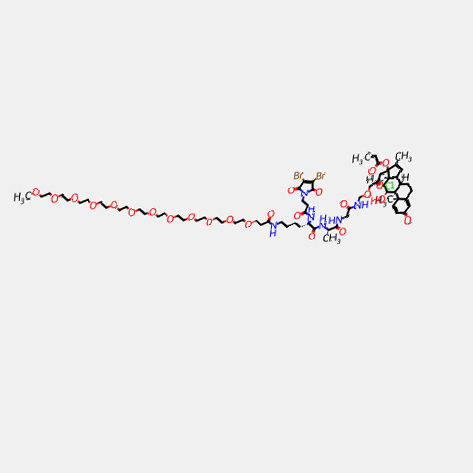 CCC(=O)OC1(CC(=O)COCNC(=O)CNC(=O)[C@H](C)NC(=O)[C@H](CCCCNC(=O)CCOCCOCCOCCOCCOCCOCCOCCOCCOCCOCCOCCOC)NC(=O)CCN2C(=O)C(Br)=C(Br)C2=O)[C@@H](C)CC2[C@@H]3CCC4=CC(=O)C=C[C@]4(C)[C@@]3(Cl)[C@@H](O)C[C@@]21C